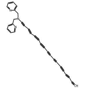 C#CC#CC#CC#CC#CC#CC#CC#CC#CN(Cc1ccccn1)Cc1ccccn1